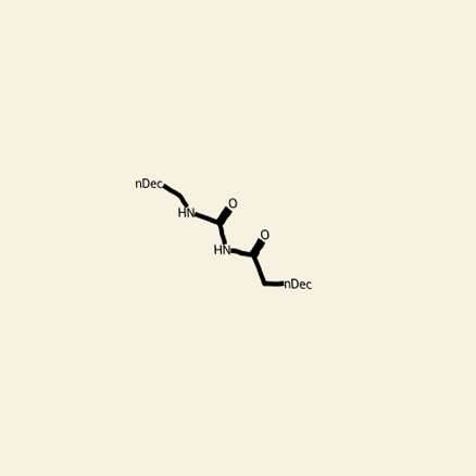 CCCCCCCCCCCNC(=O)NC(=O)CCCCCCCCCCC